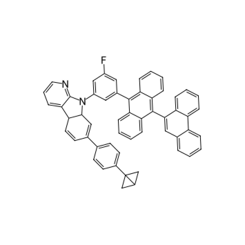 Fc1cc(-c2c3ccccc3c(-c3cc4ccccc4c4ccccc34)c3ccccc23)cc(N2c3ncccc3C3C=CC(c4ccc(C56CC5C6)cc4)=CC32)c1